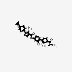 Cc1cc(NC(=O)c2cnn(-c3ccc(C4CC4)cn3)c2C)cnc1C1=CCC(C(=O)N(C)C)CC1